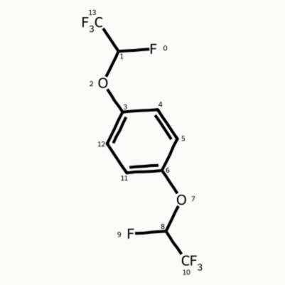 FC(Oc1ccc(OC(F)C(F)(F)F)cc1)C(F)(F)F